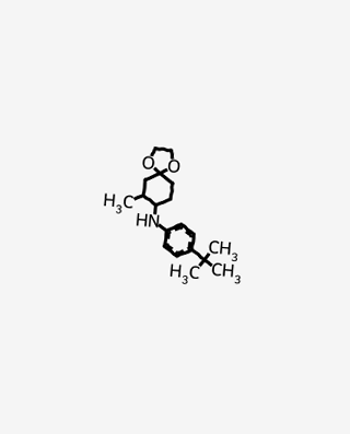 CC1CC2(CCC1Nc1ccc(C(C)(C)C)cc1)OCCO2